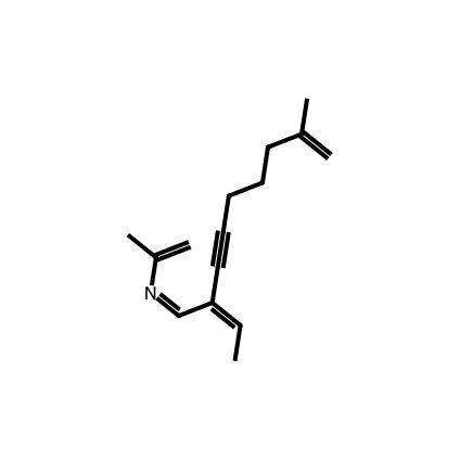 C=C(C)CCCC#CC(/C=N\C(=C)C)=C/C